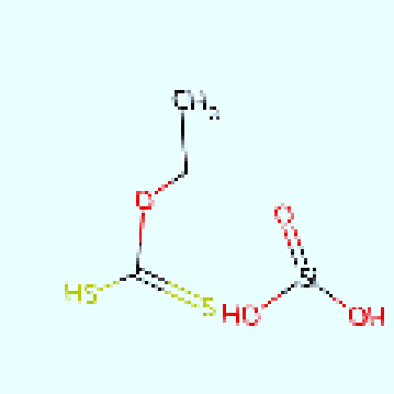 CCOC(=S)S.O=[Si](O)O